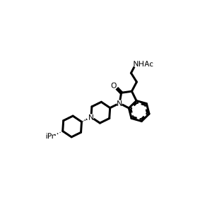 CC(=O)NCCC1C(=O)N(C2CCN([C@H]3CC[C@@H](C(C)C)CC3)CC2)c2ccccc21